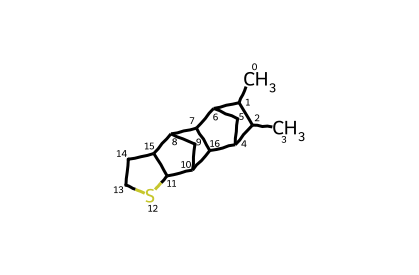 CC1C(C)C2CC1C1C3CC(C4SCCC34)C21